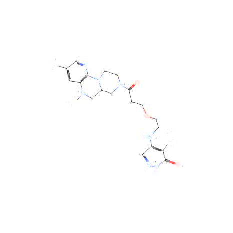 C[C@@H](COCCC(=O)N1CCN2c3ncc(C(F)(F)F)cc3N(C)CC2C1)Nc1cn[nH]c(=O)c1C(F)(F)F